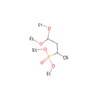 CCOC(CC(C#N)P(=O)(OCC)OCC)OCC